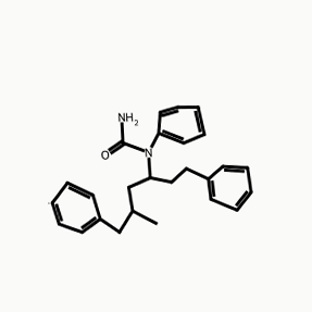 CC(Cc1cc[c]cc1)CC(CCc1ccccc1)N(C(N)=O)c1ccccc1